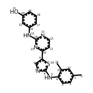 Cc1ccc(Nc2ncc(-c3ccnc(Nc4cccc(O)c4)n3)s2)c(C)c1